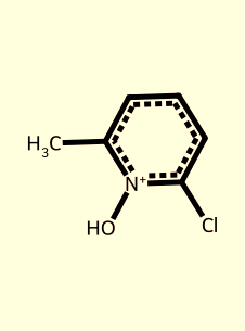 Cc1cccc(Cl)[n+]1O